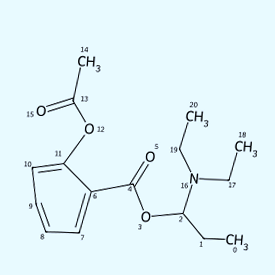 CCC(OC(=O)c1ccccc1OC(C)=O)N(CC)CC